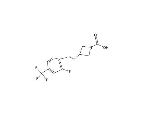 O=C(O)N1CC(CCc2ccc(C(F)(F)F)cc2F)C1